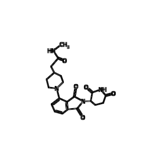 CNC(=O)CC1CCN(c2cccc3c2C(=O)N(C2CCC(=O)NC2=O)C3=O)CC1